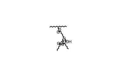 CCCCCCC(CCCCCC)COC(=O)CCCCCN(CCO)CC(COC(=O)CCCCC)OC(=O)CCCCC